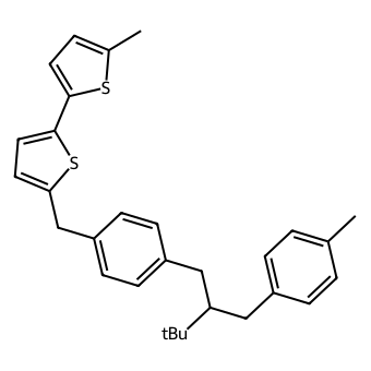 Cc1ccc(CC(Cc2ccc(Cc3ccc(-c4ccc(C)s4)s3)cc2)C(C)(C)C)cc1